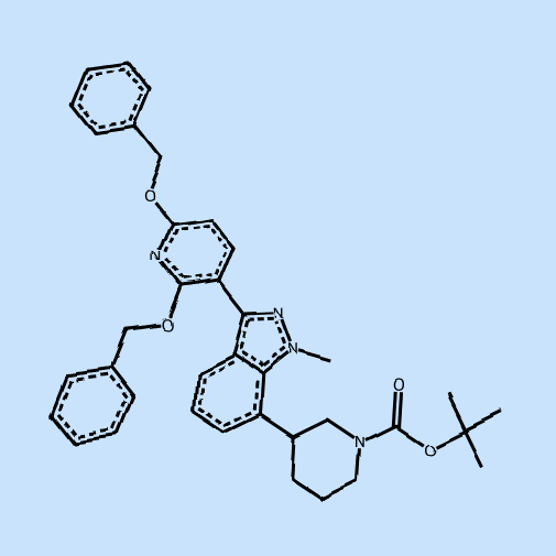 Cn1nc(-c2ccc(OCc3ccccc3)nc2OCc2ccccc2)c2cccc(C3CCCN(C(=O)OC(C)(C)C)C3)c21